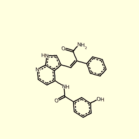 NC(=O)C(=Cc1c[nH]c2nccc(NC(=O)c3cccc(O)c3)c12)c1ccccc1